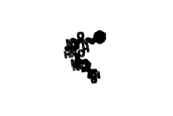 Cc1ncc(C(=O)NCCN2CC3CCC2CC3)cc1NC(=O)c1nnn2cc(-c3cnn(C)c3)ccc12